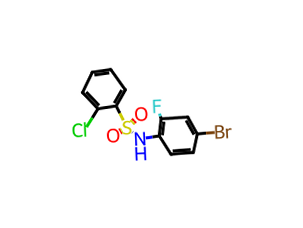 O=S(=O)(Nc1ccc(Br)cc1F)c1ccccc1Cl